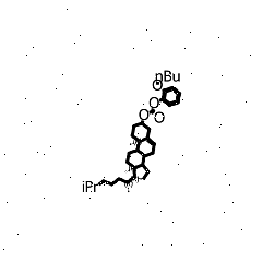 CCCCOc1ccccc1OC(=O)OC1CC[C@@]2(C)C(=CCC3C2CC[C@@]2(C)C3CC[C@@H]2[C@H](C)CCCC(C)C)C1